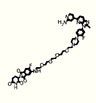 Cc1nc2ccc(-c3ccnc(N)c3)nc2n1-c1ccc(N2CCN(CCOCCOCCOCCOCCNc3cc4c(cc3F)C(=O)N(C3CCC(=O)NC3=O)C4=O)CC2)c(F)c1